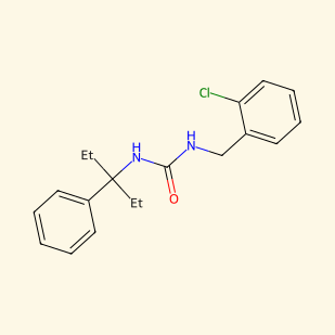 CCC(CC)(NC(=O)NCc1ccccc1Cl)c1ccccc1